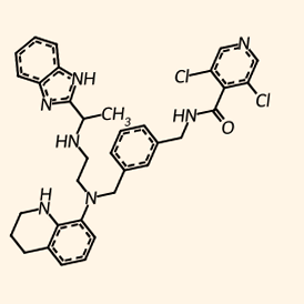 CC(NCCN(Cc1cccc(CNC(=O)c2c(Cl)cncc2Cl)c1)c1cccc2c1NCCC2)c1nc2ccccc2[nH]1